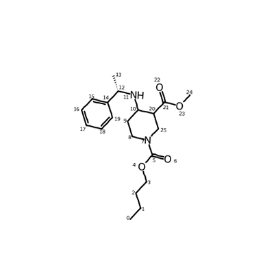 CCCCOC(=O)N1CCC(N[C@@H](C)c2ccccc2)C(C(=O)OC)C1